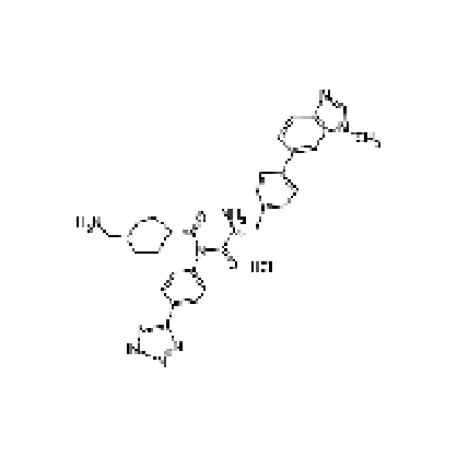 Cl.Cn1cnc2ccc(-c3ccc(C[C@H](N)C(=O)N(c4ccc(-c5nn[nH]n5)cc4)C(=O)[C@H]4CC[C@H](CN)CC4)cc3)cc21